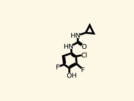 O=C(Nc1cc(F)c(O)c(F)c1Cl)NC1CC1